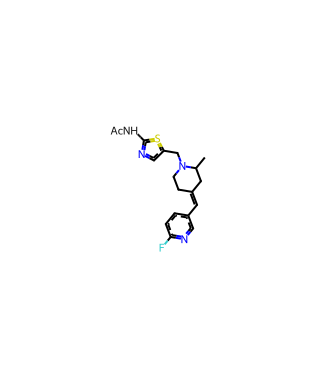 CC(=O)Nc1ncc(CN2CC/C(=C\c3ccc(F)nc3)CC2C)s1